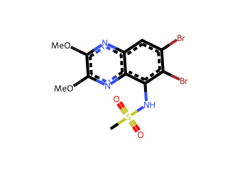 COc1nc2cc(Br)c(Br)c(NS(C)(=O)=O)c2nc1OC